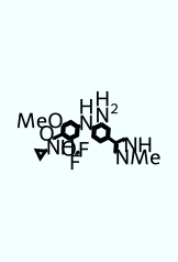 CN/C=C(\C=N)c1ccc(Nc2cc(OC)c(C(=O)NC3CC3)c(OC(F)F)c2)c(N)c1